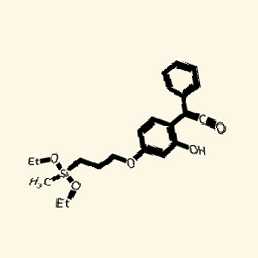 CCO[Si](C)(CCCOc1ccc(C(=C=O)c2ccccc2)c(O)c1)OCC